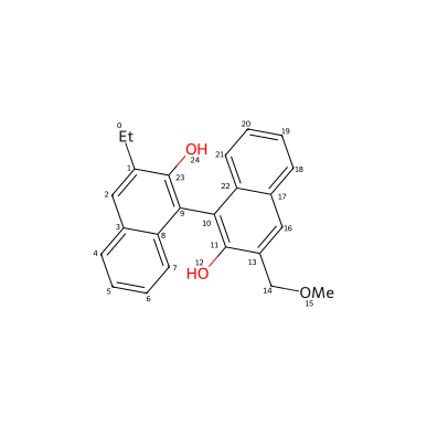 CCc1cc2ccccc2c(-c2c(O)c(COC)cc3ccccc23)c1O